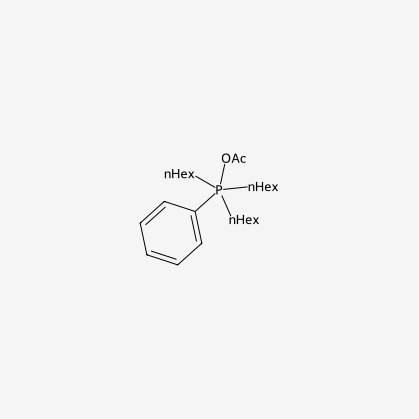 CCCCCCP(CCCCCC)(CCCCCC)(OC(C)=O)c1ccccc1